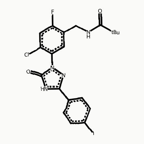 CC(C)(C)C(=O)NCc1cc(-n2nc(-c3ccc(I)cc3)[nH]c2=O)c(Cl)cc1F